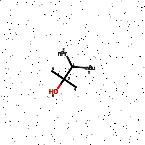 CCCCC(CCC)C(C)(C)O